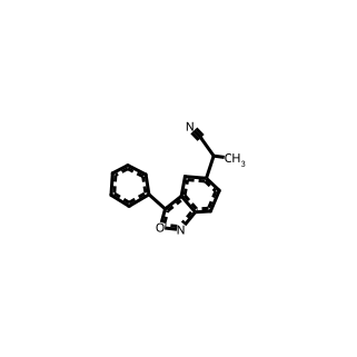 CC(C#N)c1ccc2noc(-c3ccccc3)c2c1